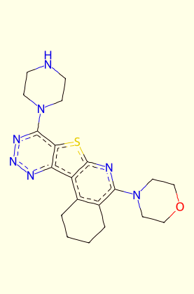 C1CCc2c(c(N3CCOCC3)nc3sc4c(N5CCNCC5)nnnc4c23)C1